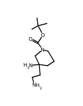 CC(C)(C)OC(=O)N1CCCC(N)(CCN)C1